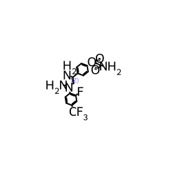 N/C(=C\N(N)c1ccc(C(F)(F)F)cc1F)c1ccc(OS(N)(=O)=O)cc1